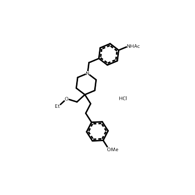 CCOCC1(CCc2ccc(OC)cc2)CCN(Cc2ccc(NC(C)=O)cc2)CC1.Cl